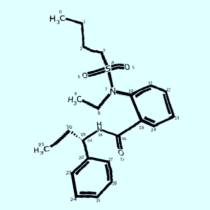 CCCCS(=O)(=O)N(CC)c1ccccc1C(=O)N[C@@H](CC)c1ccccc1